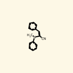 CN(C(C#N)=Cc1ccccc1)c1ccccc1